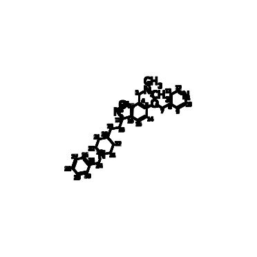 CN(C)Cc1c(OCc2ccncc2)ccc2c(CCC3CCN(Cc4ccccc4)CC3)noc12